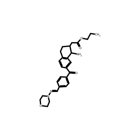 CCCOC(=O)CC1CCc2ccc(C(=O)c3ccc(C=NN4CCOCC4)cc3)cc2C1N